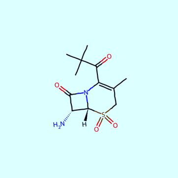 CC1=C(C(=O)C(C)(C)C)N2C(=O)[C@@H](N)[C@H]2S(=O)(=O)C1